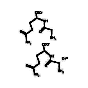 NCC(=O)NC(CCC(N)=O)C(=O)[O-].NCC(=O)NC(CCC(N)=O)C(=O)[O-].[Zn+2]